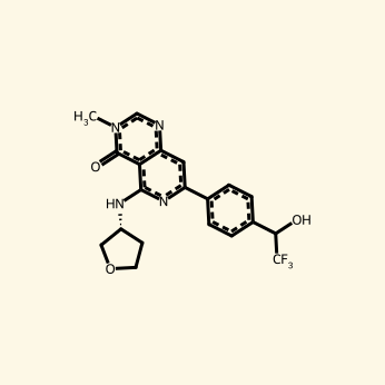 Cn1cnc2cc(-c3ccc(C(O)C(F)(F)F)cc3)nc(N[C@@H]3CCOC3)c2c1=O